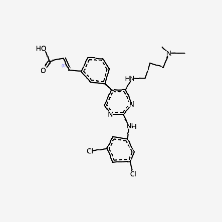 CN(C)CCCNc1nc(Nc2cc(Cl)cc(Cl)c2)ncc1-c1cccc(/C=C/C(=O)O)c1